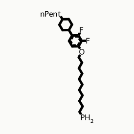 CCCCCC1CCC(c2ccc(OCCCCCCCCCCCP)c(F)c2F)CC1